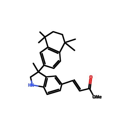 COC(=O)/C=C/c1ccc2c(c1)C(C)(c1ccc3c(c1)C(C)(C)CCC3(C)C)CN2